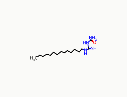 CCCCCCCCCCCCCCNC(=N)NC(N)=O